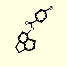 O=C(Oc1ccc2c3c(cccc13)CC2)c1ccc(Br)cc1